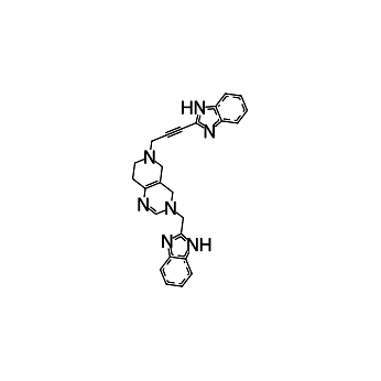 C(#Cc1nc2ccccc2[nH]1)CN1CCC2=C(CN(Cc3nc4ccccc4[nH]3)C=N2)C1